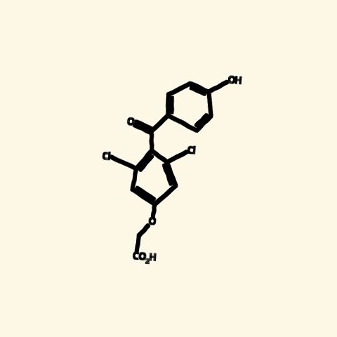 O=C(O)COc1cc(Cl)c(C(=O)c2ccc(O)cc2)c(Cl)c1